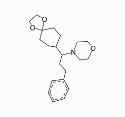 c1ccc(CCC(C2CCC3(CC2)OCCO3)N2CCOCC2)cc1